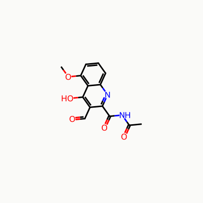 COc1cccc2nc(C(=O)NC(C)=O)c(C=O)c(O)c12